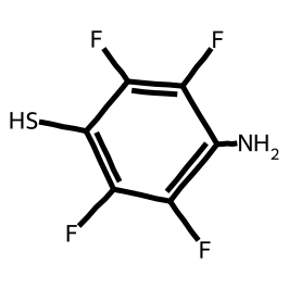 Nc1c(F)c(F)c(S)c(F)c1F